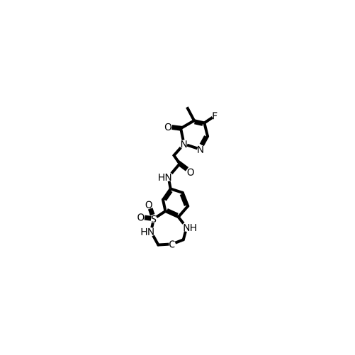 Cc1c(F)cnn(CC(=O)Nc2ccc3c(c2)S(=O)(=O)NCCCN3)c1=O